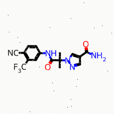 CC(C)(C(=O)Nc1ccc(C#N)c(C(F)(F)F)c1)n1cc(C(N)=O)cn1